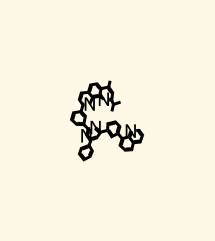 Cc1cc(C(C)C)nc2c1ccc1ccc(-c3cccc(-c4nc(-c5ccccc5)cc(-c5cccc(-c6cccc7cccnc67)c5)n4)c3)nc12